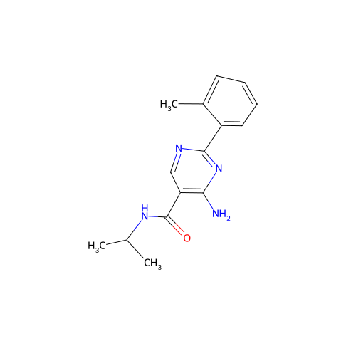 Cc1ccccc1-c1ncc(C(=O)NC(C)C)c(N)n1